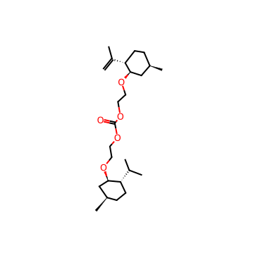 C=C(C)[C@@H]1CC[C@@H](C)C[C@H]1OCCOC(=O)OCCO[C@@H]1C[C@H](C)CC[C@H]1C(C)C